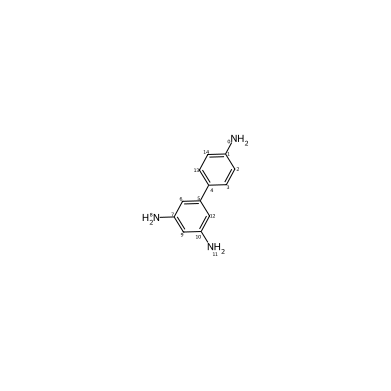 Nc1ccc(-c2cc(N)cc(N)c2)cc1